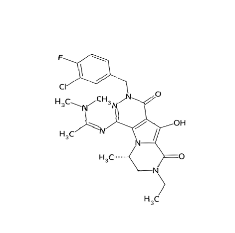 CCN1C[C@H](C)n2c(c(O)c3c(=O)n(Cc4ccc(F)c(Cl)c4)nc(N=C(C)N(C)C)c32)C1=O